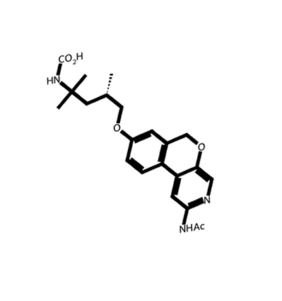 CC(=O)Nc1cc2c(cn1)OCc1cc(OC[C@@H](C)CC(C)(C)NC(=O)O)ccc1-2